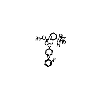 CC(C)OC(=O)N1CCC[C@H](NS(C)(=O)=O)[C@@H]1COC1CCN(c2ccccc2F)CC1